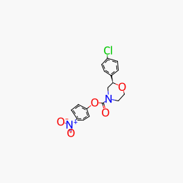 O=C(Oc1ccc([N+](=O)[O-])cc1)N1CCO[C@H](c2ccc(Cl)cc2)C1